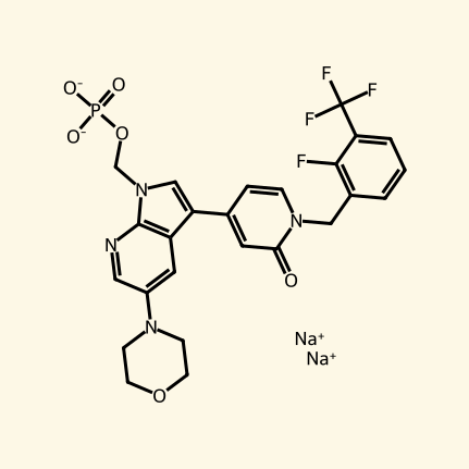 O=c1cc(-c2cn(COP(=O)([O-])[O-])c3ncc(N4CCOCC4)cc23)ccn1Cc1cccc(C(F)(F)F)c1F.[Na+].[Na+]